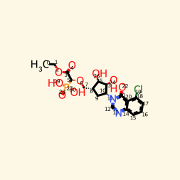 CCOC(=O)[C@H](OC[C@H]1C[C@@H](n2cnc3cccc(Cl)c3c2=O)[C@H](O)[C@@H]1O)P(=O)(O)O